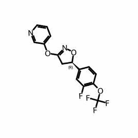 Fc1cc([C@H]2CC(Oc3cccnc3)=NO2)ccc1OC(F)(F)F